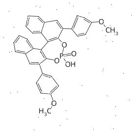 COc1ccc(-c2cc3ccccc3c3c2OP(=O)(O)Oc2c(-c4ccc(OC)cc4)cc4ccccc4c2-3)cc1